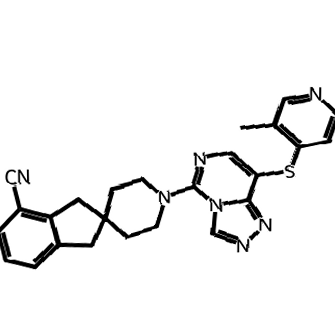 Cc1cnccc1Sc1cnc(N2CCC3(CC2)Cc2cccc(C#N)c2C3)n2cnnc12